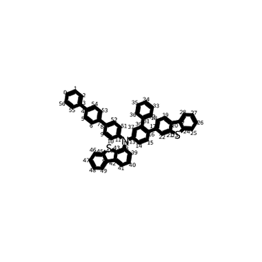 c1ccc(-c2ccc(-c3ccc(N(c4ccc(-c5ccc6c(c5)sc5ccccc56)c(-c5ccccc5)c4)c4cccc5c4sc4ccccc45)cc3)cc2)cc1